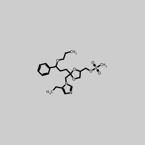 CCCOC(CCC1(Cn2cncc2CC)OCC(COS(C)(=O)=O)O1)c1ccccc1